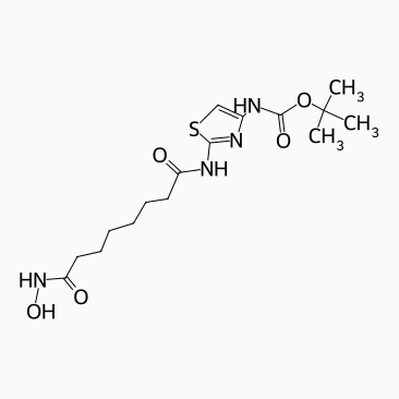 CC(C)(C)OC(=O)Nc1csc(NC(=O)CCCCCCC(=O)NO)n1